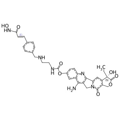 CC[C@@]1(O)C(=O)OCc2c1cc1n(c2=O)Cc2c-1nc1ccc(OC(=O)NCCNCc3ccc(/C=C/C(=O)NO)cc3)cc1c2N